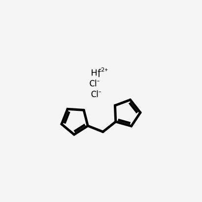 C1=CCC(CC2=CC=CC2)=C1.[Cl-].[Cl-].[Hf+2]